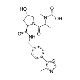 Cc1ncsc1-c1ccc(CNC(=O)[C@H]2C[C@H](O)CN2C(=O)C(C)N(C)C(=O)O)cc1